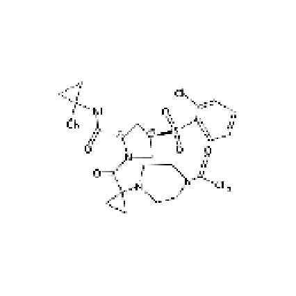 N#CC1(NC(=O)[C@@H]2C[C@@H](S(=O)(=O)c3ccccc3Cl)CN2C(=O)C2(N3CCN(C(=O)C(F)(F)F)CC3)CC2)CC1